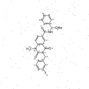 COC(NC(=O)c1ccc2c(c1)c(=O)n(Cc1cccc(F)c1)c(=O)n2C)c1ccnnc1